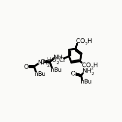 CCCCC(N)=O.CCCCC(N)=O.CCCCC(N)=O.O=C(O)c1cc(C(=O)O)cc(C(=O)O)c1